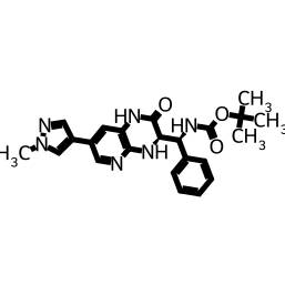 Cn1cc(-c2cnc3c(c2)NC(=O)[C@@H]([C@@H](NC(=O)OC(C)(C)C)c2ccccc2)N3)cn1